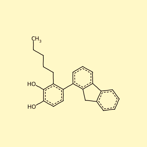 CCCCCc1c(-c2cccc3c2Cc2ccccc2-3)ccc(O)c1O